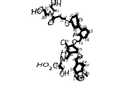 O=C(O)[C@@H](CO)NCc1cc(Cl)c(OCc2cccc(-c3cccc(OCCCC(=O)N(CCO)CCO)c3)c2F)cc1OCc1ccc2nonc2c1